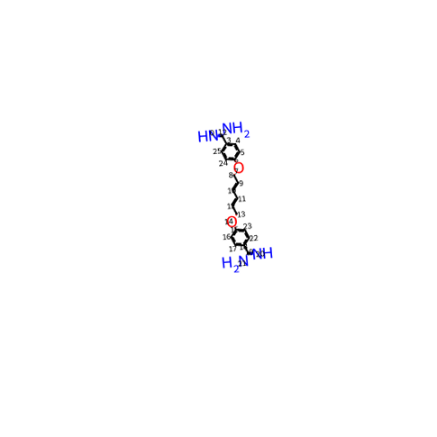 N=C(N)c1ccc(OCC=CC=CCOc2ccc(C(=N)N)cc2)cc1